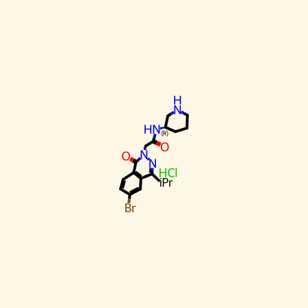 CC(C)c1nn(CC(=O)N[C@@H]2CCCNC2)c(=O)c2ccc(Br)cc12.Cl